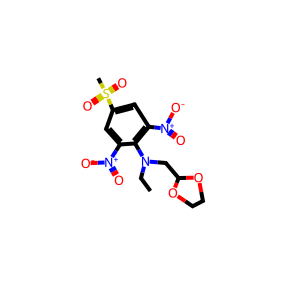 CCN(CC1OCCO1)c1c([N+](=O)[O-])cc(S(C)(=O)=O)cc1[N+](=O)[O-]